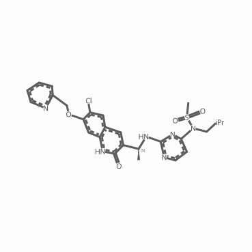 CC(C)CN(c1ccnc(N[C@@H](C)c2cc3cc(Cl)c(OCc4ccccn4)cc3[nH]c2=O)n1)S(C)(=O)=O